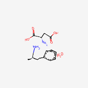 C[C@@H](N)Cc1ccccc1.N[C@@H](CC(=O)O)C(=O)O.O